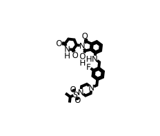 CC(C)S(=O)(=O)N1CCN(Cc2ccc(CNc3cccc4c3C(O)N(C3CCC(=O)NC3=O)C4=O)c(F)c2)CC1